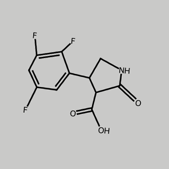 O=C(O)C1C(=O)NCC1c1cc(F)cc(F)c1F